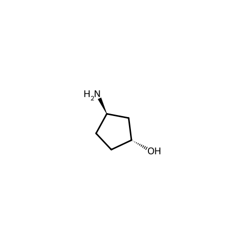 N[C@@H]1CC[C@@H](O)C1